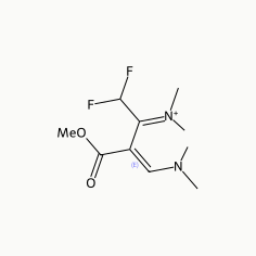 COC(=O)/C(=C/N(C)C)C(C(F)F)=[N+](C)C